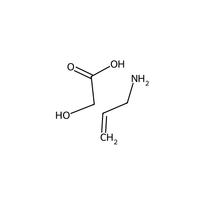 C=CCN.O=C(O)CO